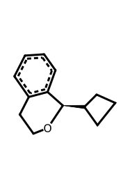 c1ccc2c(c1)CCO[C@@H]2C1CCC1